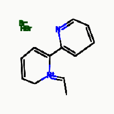 Br.CC=[N+]1CC=CC=C1c1ccccn1.[Br-]